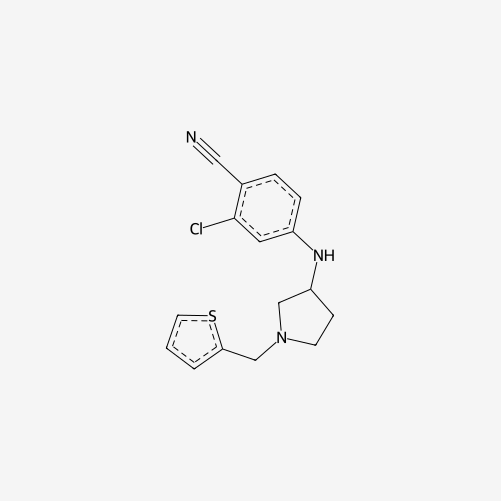 N#Cc1ccc(NC2CCN(Cc3cccs3)C2)cc1Cl